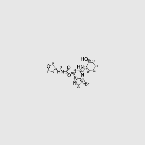 O=C(NC[C@@H]1CCOC1)Oc1cc(N[C@H]2CCCC[C@H]2O)nc2c(Br)cnn12